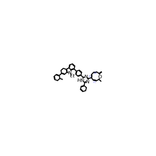 C=C1\C=C/C=C(C2=NC(c3ccc(-c4cccc5c6c(n(CC)c45)C=C(C4=CC=CCC4C)CC6)cc3)NC(C3=CC=CCC3)=N2)\C=C/C(C)O1